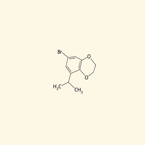 CC(C)c1cc(Br)cc2c1OCCO2